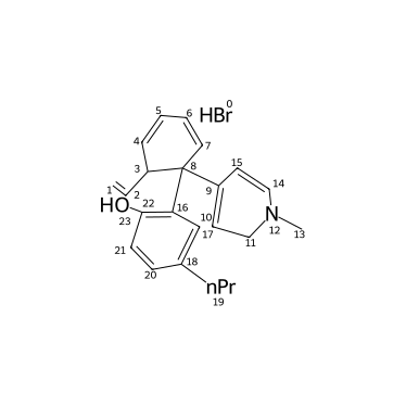 Br.C=CC1C=CC=CC1(C1=CCN(C)C=C1)c1cc(CCC)ccc1O